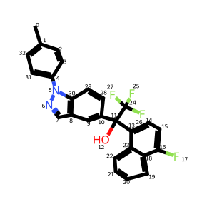 Cc1ccc(-n2ncc3cc(C(O)(c4ccc(F)c5ccccc45)C(F)(F)F)ccc32)cc1